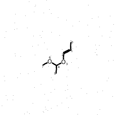 [CH2]/C=C/OC(C)OC